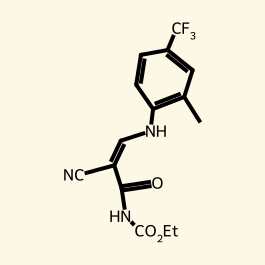 CCOC(=O)NC(=O)C(C#N)=CNc1ccc(C(F)(F)F)cc1C